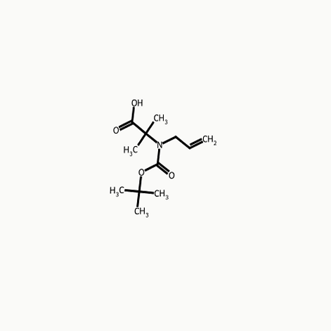 C=CCN(C(=O)OC(C)(C)C)C(C)(C)C(=O)O